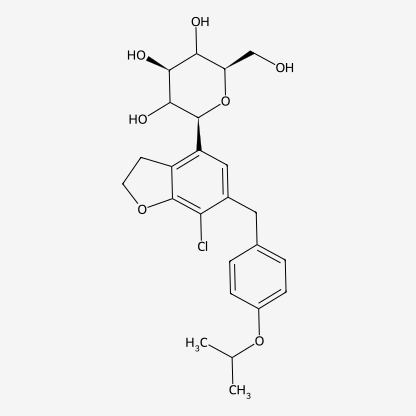 CC(C)Oc1ccc(Cc2cc([C@@H]3O[C@H](CO)C(O)[C@H](O)C3O)c3c(c2Cl)OCC3)cc1